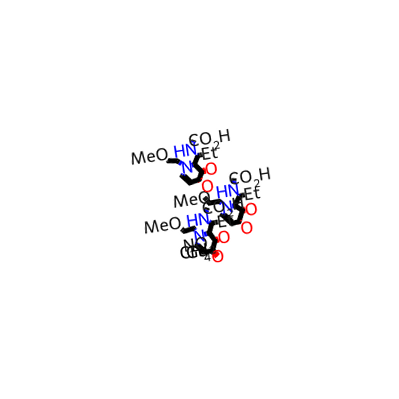 C.CCC(NC(=O)O)C1C(=O)C(=O)C=CN1CCOC.CCC(NC(=O)O)C1C(=O)C(=O)C=CN1CCOC.CCC(NC(=O)O)C1C(=O)C(=O)C=CN1CCOC.O=[N+]([O-])[Gd]